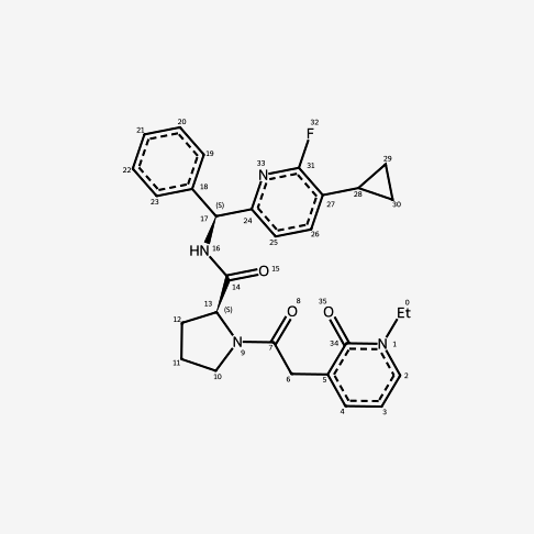 CCn1cccc(CC(=O)N2CCC[C@H]2C(=O)N[C@@H](c2ccccc2)c2ccc(C3CC3)c(F)n2)c1=O